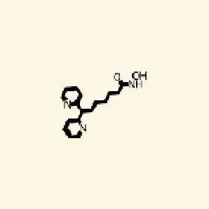 O=C(CCCCC=C(c1ccccn1)c1ccccn1)NO